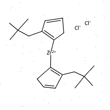 CC(C)(C)CC1=[C]([Zr+2][C]2=C(CC(C)(C)C)C=CC2)CC=C1.[Cl-].[Cl-]